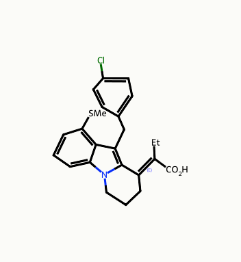 CC/C(C(=O)O)=C1/CCCn2c1c(Cc1ccc(Cl)cc1)c1c(SC)cccc12